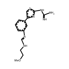 COCCN/C=N/c1cccc(-c2csc(NC(=N)N)n2)c1